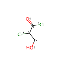 O=C(Cl)C(Cl)CO